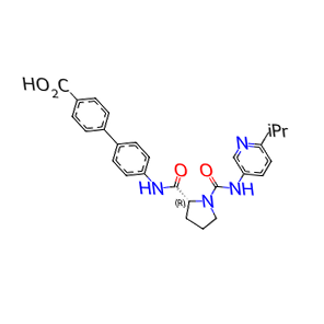 CC(C)c1ccc(NC(=O)N2CCC[C@@H]2C(=O)Nc2ccc(-c3ccc(C(=O)O)cc3)cc2)cn1